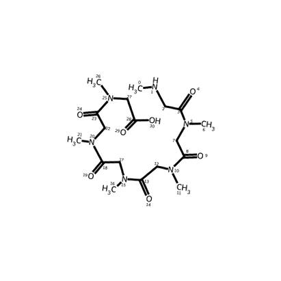 CNCC(=O)N(C)CC(=O)N(C)CC(=O)N(C)CC(=O)N(C)CC(=O)N(C)CC(=O)O